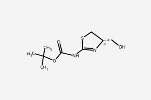 CC(C)(C)OC(=O)NC1=N[C@@H](CO)CS1